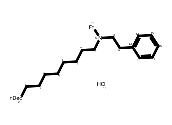 CCCCCCCCCCCCCCCCCCN(CC)CCc1ccccc1.Cl